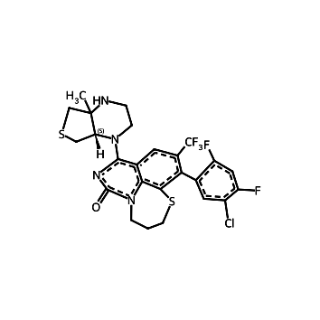 CC12CSC[C@H]1N(c1nc(=O)n3c4c(c(-c5cc(Cl)c(F)cc5F)c(C(F)(F)F)cc14)SCCC3)CCN2